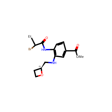 CCC(Br)C(=O)Nc1ccc(C(=O)OC)cc1NC[C@@H]1CCO1